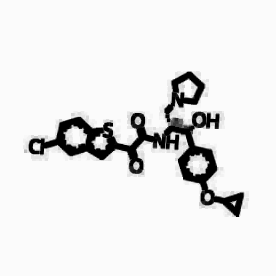 O=C(N[C@H](CN1CCCC1)[C@H](O)c1ccc(OC2CC2)cc1)C(=O)c1cc2cc(Cl)ccc2s1